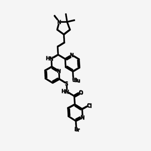 CN1CC(CCC(Nc2cccc(SNC(=O)c3ccc(Br)nc3Cl)n2)c2cc(C(C)(C)C)ccn2)CC1(C)C